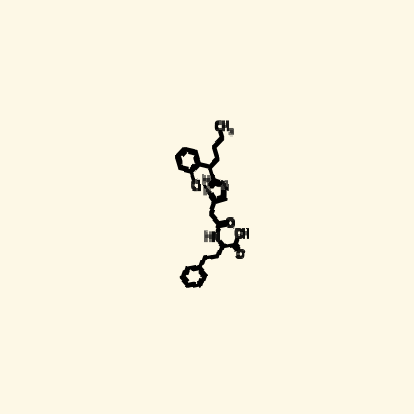 CCCCC(c1ncc(CC(=O)NC(CCc2ccccc2)C(=O)O)[nH]1)c1ccccc1Cl